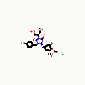 CC[C@H](C(=O)O)n1c(=O)[nH]/c(=N\c2ccc(OC(C)C)c(F)c2)n(Cc2ccc(Cl)cc2)c1=O